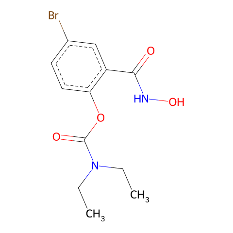 CCN(CC)C(=O)Oc1ccc(Br)cc1C(=O)NO